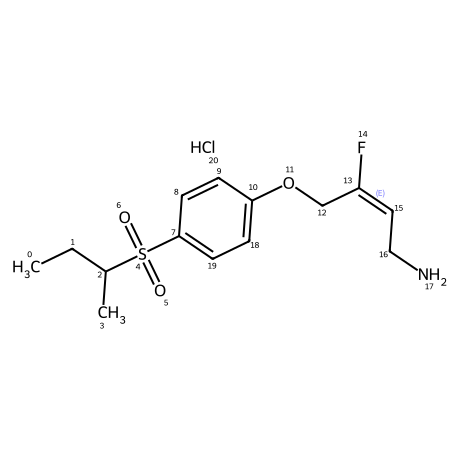 CCC(C)S(=O)(=O)c1ccc(OC/C(F)=C\CN)cc1.Cl